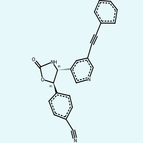 N#Cc1ccc([C@H]2OC(=O)N[C@@H]2c2cncc(C#Cc3ccccc3)c2)cc1